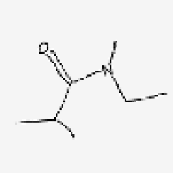 [CH2]C(C)C(=O)N(C)CC